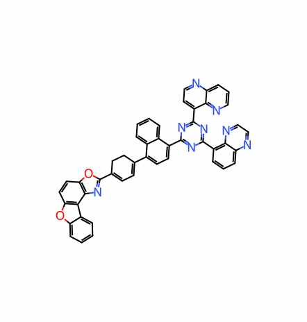 C1=C(c2nc3c(ccc4oc5ccccc5c43)o2)CCC(c2ccc(-c3nc(-c4cccc5nccnc45)nc(-c4ccnc5cccnc45)n3)c3ccccc23)=C1